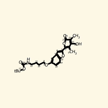 Cc1c(-c2cc3cc(OCCCCNC(=O)OC(C)(C)C)ccc3o2)oc(=O)c(C)c1O